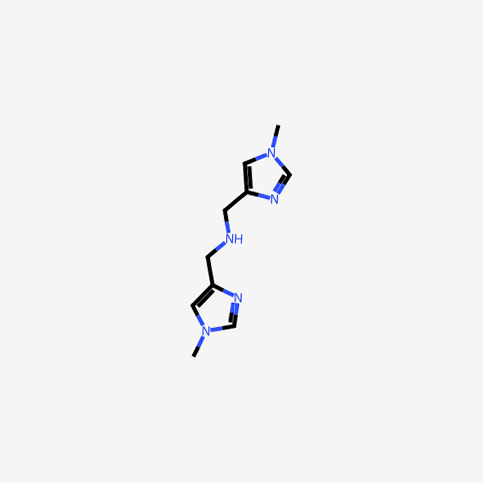 Cn1cnc(CNCc2cn(C)cn2)c1